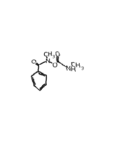 CNC(=O)ON(C)C(=O)c1ccccc1